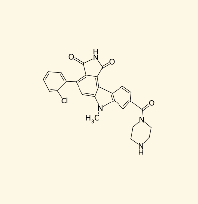 Cn1c2cc(C(=O)N3CCNCC3)ccc2c2c3c(c(-c4ccccc4Cl)cc21)C(=O)NC3=O